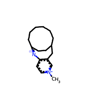 C[n+]1ccc2c(c1)CC1CCCCCC/C(=N/2)CC1